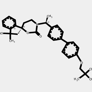 C[C@@H](c1ccc(-c2ccc(OCC(C)(C)O)cc2)cc1)N1CC[C@](CC(C)(C)O)(c2ccccc2)OC1=O